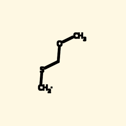 [CH2]SCOC